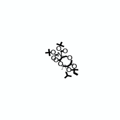 C=CC(C)(C)O[C@H]1COC[C@H](N(C(=O)OC(C)(C)C)C(=O)OC(C)(C)C)C(=O)O[C@@H](C)[C@@H]1OCC(C)C